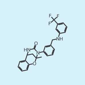 CC12CC(NC(=O)N1c1cccc(CNc3cccc(C(F)(F)F)c3)c1)c1ccccc1O2